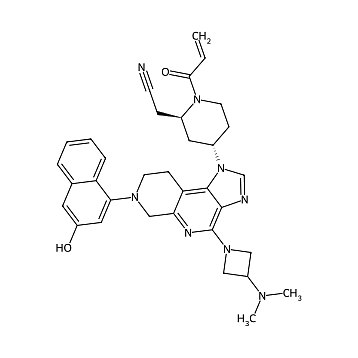 C=CC(=O)N1CC[C@H](n2cnc3c(N4CC(N(C)C)C4)nc4c(c32)CCN(c2cc(O)cc3ccccc23)C4)C[C@H]1CC#N